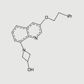 CC(C)CCOc1cnc2c(N3CC(O)C3)cccc2c1